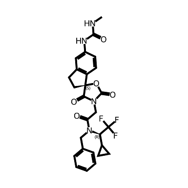 CNC(=O)Nc1ccc2c(c1)CC[C@]21OC(=O)N(CC(=O)N(Cc2ccccc2)[C@H](C2CC2)C(F)(F)F)C1=O